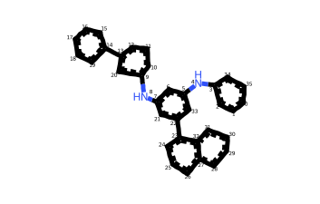 c1ccc(Nc2cc(Nc3cccc(-c4ccccc4)c3)cc(-c3cccc4ccccc34)c2)cc1